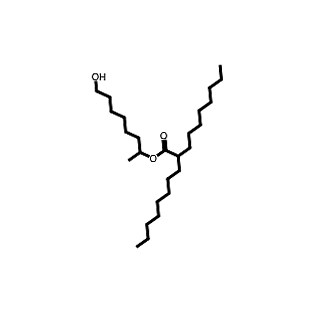 CCCCCCCCC(CCCCCCCC)C(=O)OC(C)CCCCCCO